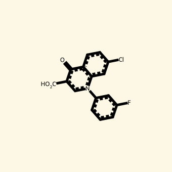 O=C(O)c1cn(-c2cccc(F)c2)c2cc(Cl)ccc2c1=O